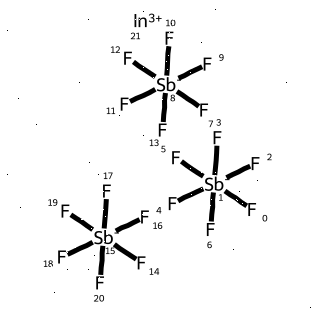 [F][Sb-]([F])([F])([F])([F])[F].[F][Sb-]([F])([F])([F])([F])[F].[F][Sb-]([F])([F])([F])([F])[F].[In+3]